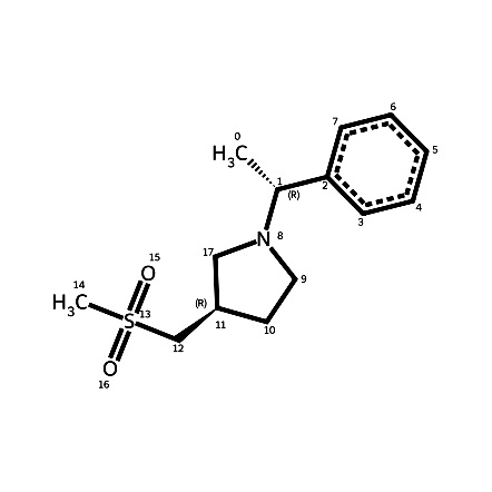 C[C@H](c1ccccc1)N1CC[C@@H](CS(C)(=O)=O)C1